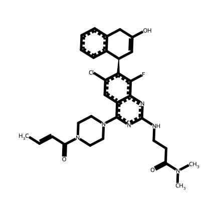 C/C=C/C(=O)N1CCN(c2nc(NCCC(=O)N(C)C)nc3c(F)c([C@@H]4C=C(O)Cc5ccccc54)c(Cl)cc23)CC1